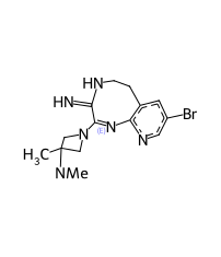 CNC1(C)CN(/C2=N/c3ncc(Br)cc3CCNC2=N)C1